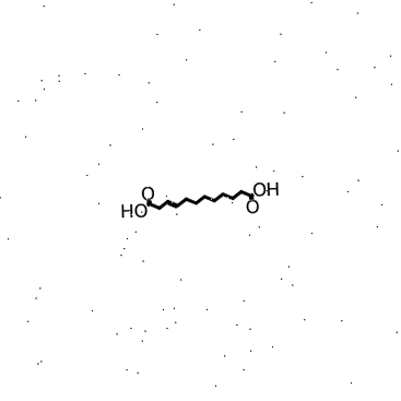 O=C(O)CC=CCCCCCCCC(=O)O